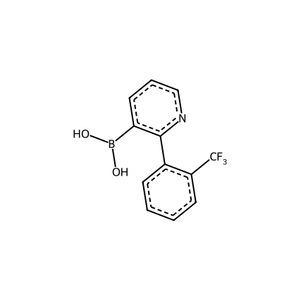 OB(O)c1cccnc1-c1ccccc1C(F)(F)F